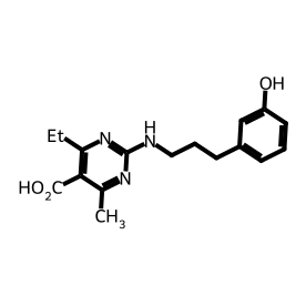 CCc1nc(NCCCc2cccc(O)c2)nc(C)c1C(=O)O